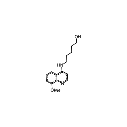 COc1cccc2c(NCCCCCO)ccnc12